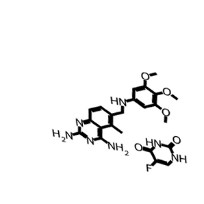 COc1cc(NCc2ccc3nc(N)nc(N)c3c2C)cc(OC)c1OC.O=c1[nH]cc(F)c(=O)[nH]1